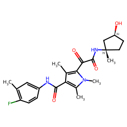 Cc1cc(NC(=O)c2c(C)c(C(=O)C(=O)N[C@@]3(C)CC[C@H](O)C3)n(C)c2C)ccc1F